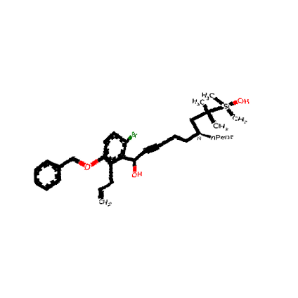 C=CCc1c(OCc2ccccc2)ccc(Br)c1C(O)C#CCC[C@H](CCCCC)CC(C)(C)[Si](C)(C)O